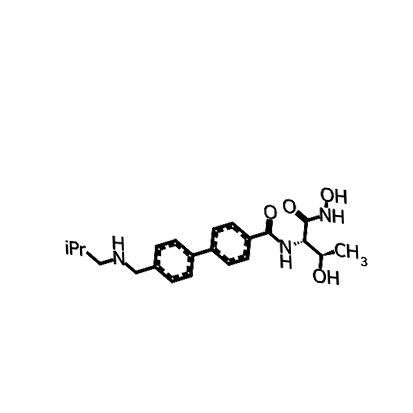 CC(C)CNCc1ccc(-c2ccc(C(=O)N[C@H](C(=O)NO)[C@@H](C)O)cc2)cc1